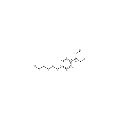 CCCCCCc1ccc(P(CC)CC)cc1